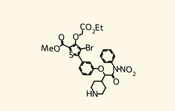 CCOC(=O)COc1c(C(=O)OC)sc(-c2cccc(OC(C(=O)N(c3ccccc3)[N+](=O)[O-])C3CCNCC3)c2)c1Br